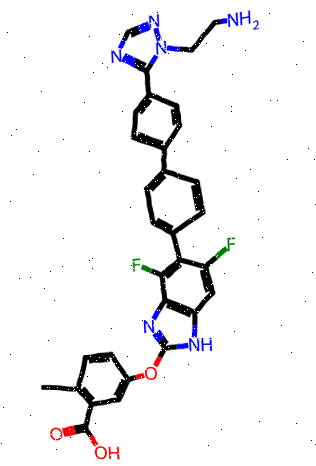 Cc1ccc(Oc2nc3c(F)c(-c4ccc(-c5ccc(-c6ncnn6CCN)cc5)cc4)c(F)cc3[nH]2)cc1C(=O)O